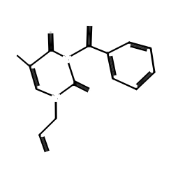 C=CCn1cc(C)c(=O)n(C(=O)c2ccccc2)c1=O